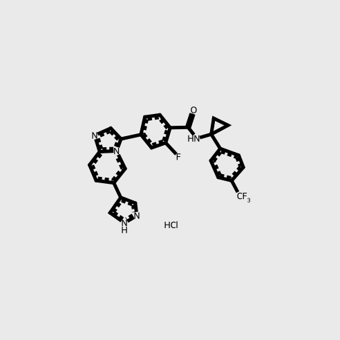 Cl.O=C(NC1(c2ccc(C(F)(F)F)cc2)CC1)c1ccc(-c2cnc3ccc(-c4cn[nH]c4)cn23)cc1F